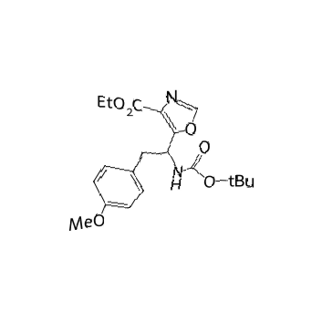 CCOC(=O)c1ncoc1C(Cc1ccc(OC)cc1)NC(=O)OC(C)(C)C